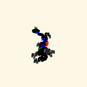 Cc1cc(=O)n([C@@H](CC(C)C)C(=O)N[C@@H](CC(=O)O)c2cc(-c3c(C)cccc3C)cc(C(F)(F)F)c2F)nc1CCN1CC[C@@H](F)C1